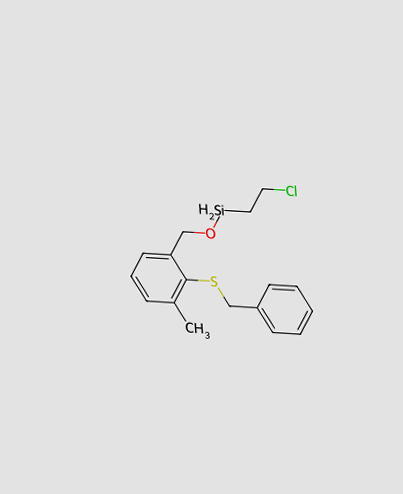 Cc1cccc(CO[SiH2]CCCl)c1SCc1ccccc1